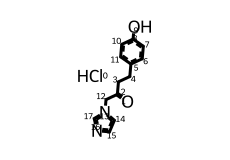 Cl.O=C(CCc1ccc(O)cc1)Cn1ccnc1